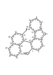 Oc1ccc2oc3ccccc3c2c1-c1c(F)ccc2ccccc12